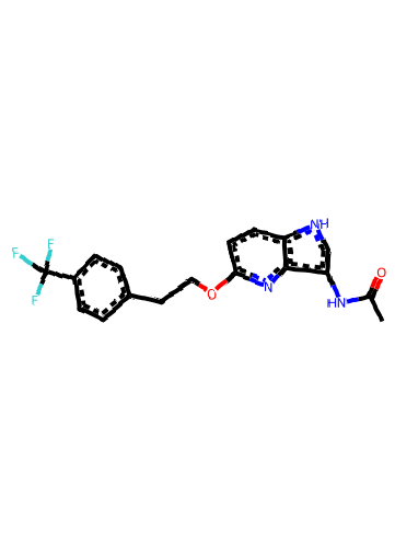 CC(=O)Nc1c[nH]c2ccc(OCCc3ccc(C(F)(F)F)cc3)nc12